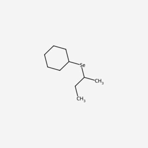 CCC(C)[Se]C1CCCCC1